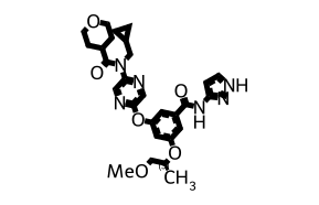 COC[C@H](C)Oc1cc(Oc2cnc(N(CC3CC3)C(=O)C3CCOCC3)cn2)cc(C(=O)Nc2cc[nH]n2)c1